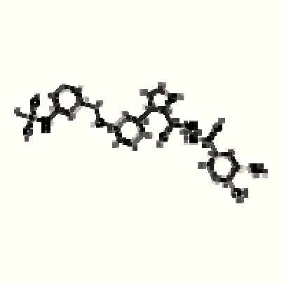 CS(=O)(=O)Nc1cccc(COc2cccc(-c3ccoc3C(=O)NNC(=O)c3ccc(O)c([N+](=O)[O-])c3)c2)c1